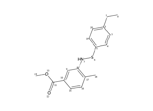 CCc1ccc(SNc2cc(C(=O)OC)ccc2C)cc1